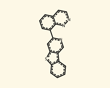 c1cc(-c2cc3sc4ccccc4c3cn2)c2nnccc2c1